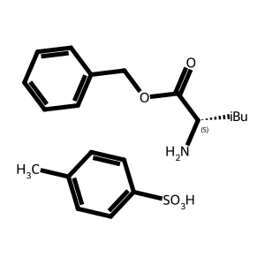 CCC(C)[C@H](N)C(=O)OCc1ccccc1.Cc1ccc(S(=O)(=O)O)cc1